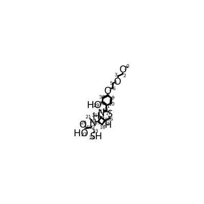 COCCOCCOc1ccc(C2=N[C@@H]3[C@@H](CS2)C[C@H]3N(C)[C@H](CS)C(=O)O)c(O)c1